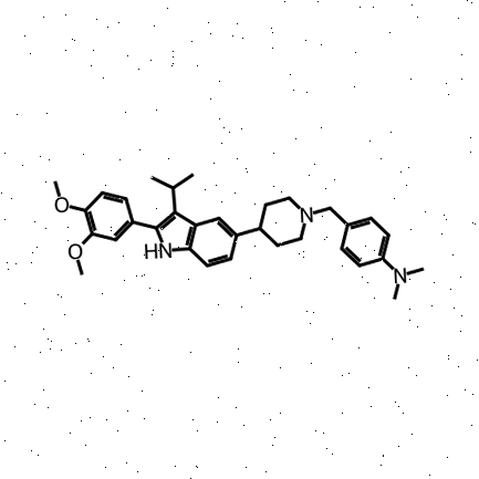 COc1ccc(-c2[nH]c3ccc(C4CCN(Cc5ccc(N(C)C)cc5)CC4)cc3c2C(C)C)cc1OC